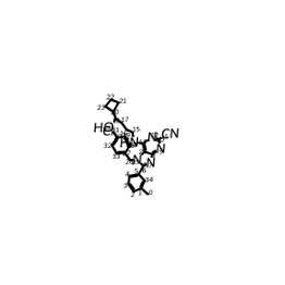 Cc1cccc(-c2nc3nc(C#N)nc(NCCCC(O)C4CCC4)c3n2Cc2ccc(Cl)cc2)c1